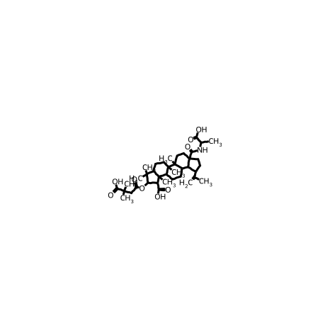 C=C(C)C1CCC2(C(=O)NC(C)C(=O)O)CCC3(C)C(CCC4C5(C)C(C(=O)O)C(OC(=O)CC(C)(C)C(=O)O)C(C)(C)C5CCC43C)C12